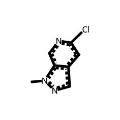 Cn1ncc2cc(Cl)ncc21